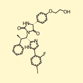 C[C@H](c1ccccc1)[C@@H](c1ncc(-c2ccc(I)cc2F)[nH]1)N1C(=O)N[C@H](c2ccc(OCCO)cc2)C1=O